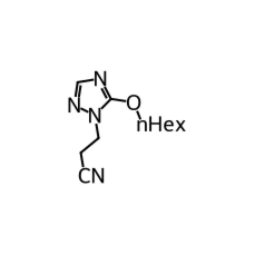 CCCCCCOc1ncnn1CCC#N